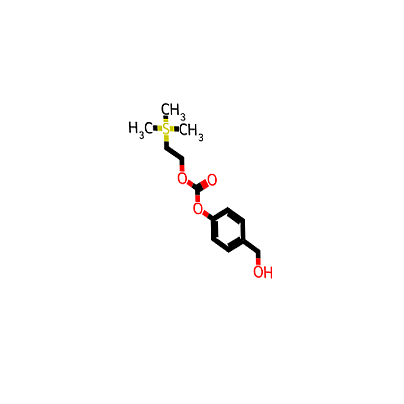 CS(C)(C)CCOC(=O)Oc1ccc(CO)cc1